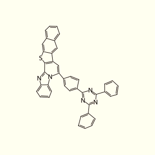 c1ccc(-c2nc(-c3ccccc3)nc(-c3ccc(-c4cc5c6cc7ccccc7cc6sc5c5nc6ccccc6n45)cc3)n2)cc1